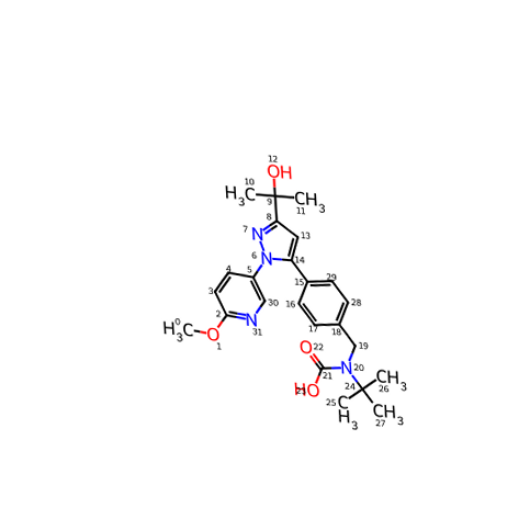 COc1ccc(-n2nc(C(C)(C)O)cc2-c2ccc(CN(C(=O)O)C(C)(C)C)cc2)cn1